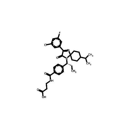 CC[C@H](c1ccc(C(=O)NCCC(=O)O)cc1)N1C(=O)C(c2cc(F)cc(Cl)c2)=NC12CCC(C(C)C)CC2